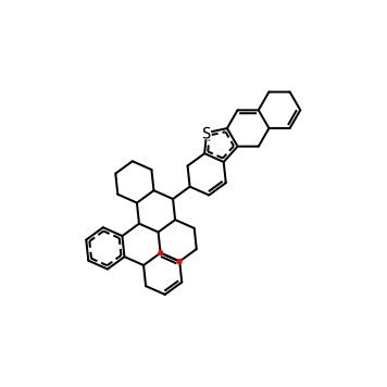 C1=CCC(c2ccccc2C2C3CCCCC3C(C3C=Cc4c(sc5c4CC4C=CCCC4=C5)C3)C3CCCCC32)C=C1